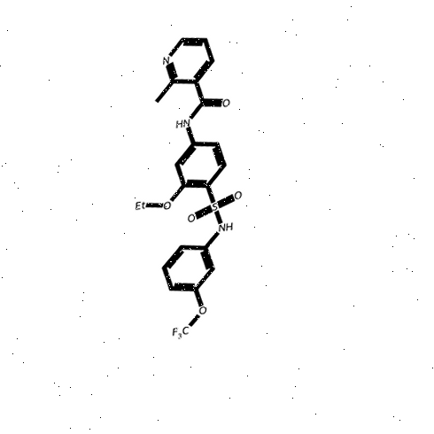 CCOc1cc(NC(=O)c2cccnc2C)ccc1S(=O)(=O)Nc1cccc(OC(F)(F)F)c1